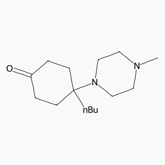 CCCCC1(N2CCN(C)CC2)CCC(=O)CC1